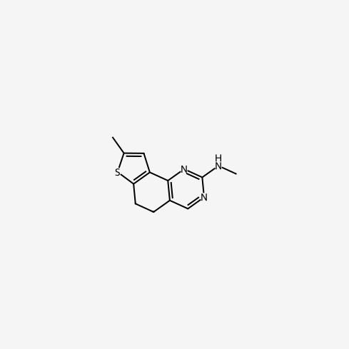 CNc1ncc2c(n1)-c1cc(C)sc1CC2